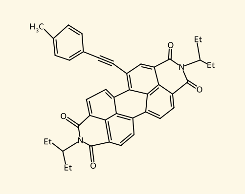 CCC(CC)N1C(=O)c2ccc3c4ccc5c6c(cc(C#Cc7ccc(C)cc7)c(c7ccc(c2c37)C1=O)c64)C(=O)N(C(CC)CC)C5=O